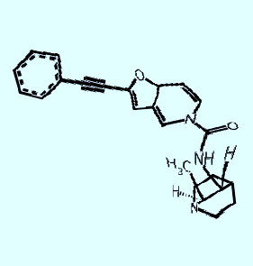 C[C@H]1[C@H](NC(=O)N2C=CC3OC(C#Cc4ccccc4)=CC3=C2)C2CCN1CC2